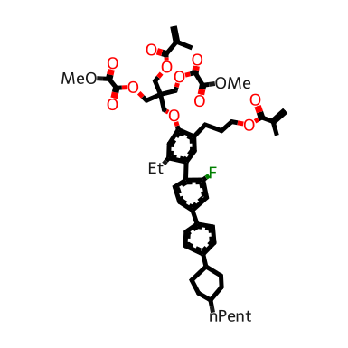 C=C(C)C(=O)OCCCc1cc(-c2ccc(-c3ccc(C4CCC(CCCCC)CC4)cc3)cc2F)c(CC)cc1OCC(COC(=O)C(=C)C)(COC(=O)C(=O)OC)COC(=O)C(=O)OC